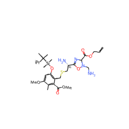 C=CCOC(=O)C1N=C([C@@H](N)CSCc2c(O[Si](C)(C)C(C)(C)C(C)C)cc(OC)c(C)c2C(=O)OC)ON1CN